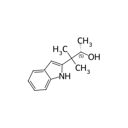 C[C@H](O)C(C)(C)c1cc2ccccc2[nH]1